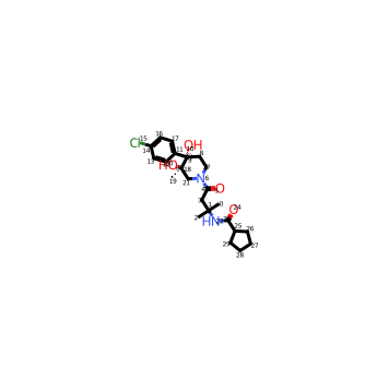 CC(C)(CC(=O)N1CC[C@](O)(c2ccc(Cl)cc2)[C@](C)(O)C1)NC(=O)C1CCCC1